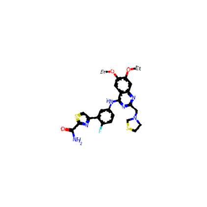 CCOc1cc2nc(CN3CCSC3)nc(Nc3ccc(F)c(-c4csc(C(N)=O)n4)c3)c2cc1OCC